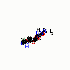 CN(C)CCC(=O)Nc1ccc2c(=O)n(CC3(O)CCN(C(=O)C(CCCC(=O)Nc4ccc5c(Cl)ccnc5c4)Cc4ccccc4)CC3)cnc2c1